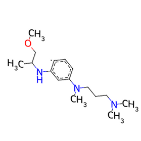 COCC(C)Nc1[c]ccc(N(C)CCCN(C)C)c1